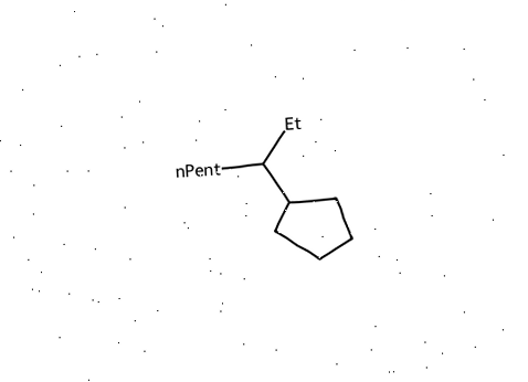 [CH2]CC(CCCCC)C1CCCC1